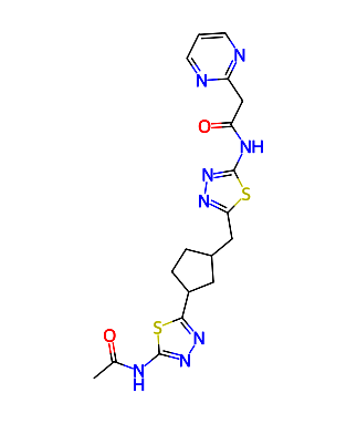 CC(=O)Nc1nnc(C2CCC(Cc3nnc(NC(=O)Cc4ncccn4)s3)C2)s1